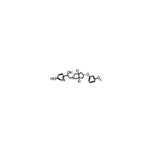 COc1cccc(O[C@@H]2C[C@@H]3CN(CC(O)c4ccc(O)cn4)C[C@@H]3C2)c1